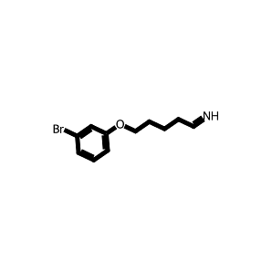 N=CCCCCOc1cccc(Br)c1